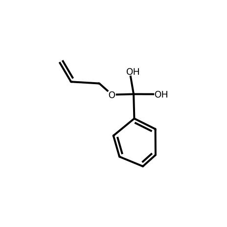 C=CCOC(O)(O)c1ccccc1